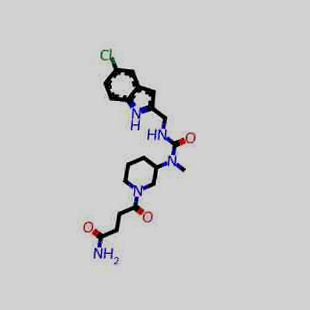 CN(C(=O)NCc1cc2cc(Cl)ccc2[nH]1)C1CCCN(C(=O)CCC(N)=O)C1